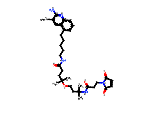 CCCCCc1cc2c(CCCCCNC(=O)CCC(C)(C)OCCC(C)(C)NC(=O)CCN3C(=O)C=CC3=O)cccc2nc1N